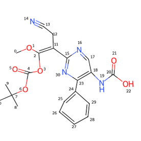 COC(OC(=O)OC(C)(C)C)=C(CC#N)c1ncc(NC(=O)O)c(-c2ccccc2)n1